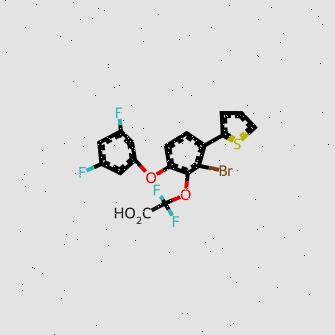 O=C(O)C(F)(F)Oc1c(Oc2cc(F)cc(F)c2)ccc(-c2cccs2)c1Br